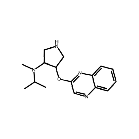 CC(C)N(C)C1CNCC1Oc1cnc2ccccc2n1